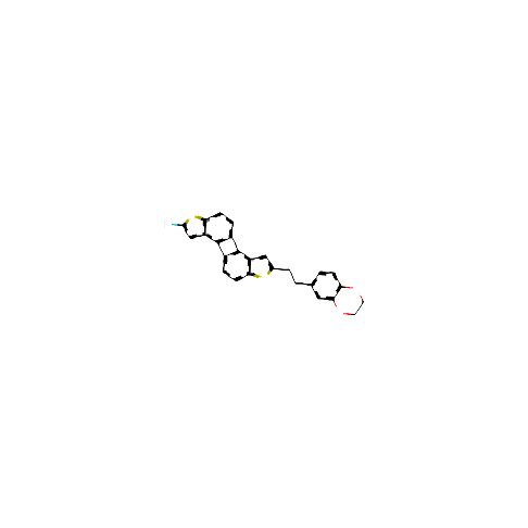 Fc1cc2c3c(ccc2s1)-c1c-3ccc2sc(CCc3ccc4c(c3)OCCO4)cc12